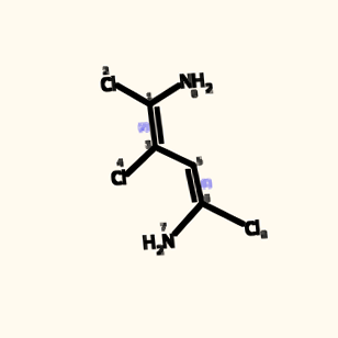 N/C(Cl)=C(Cl)\C=C(/N)Cl